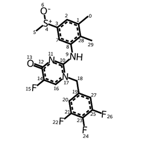 Cc1cc([S+](C)[O-])cc(Nc2nc(=O)c(F)cn2Cc2cc(F)c(F)c(F)c2)c1C